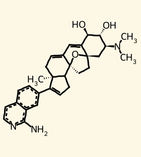 CN(C)[C@H]1C[C@@]23CC[C@@]4(O2)C(=CC[C@]2(C)C(c5ccc6ccnc(N)c6c5)=CCC24)C=C3[C@@H](O)[C@@H]1O